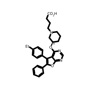 CCc1ccc(-c2c(-c3ccccc3)oc3ncnc(O[C@@H]4CCCN(CCCC(=O)O)C4)c23)cc1